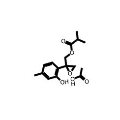 CC(=O)O.Cc1ccc(C2(COC(=O)C(C)C)CO2)c(O)c1